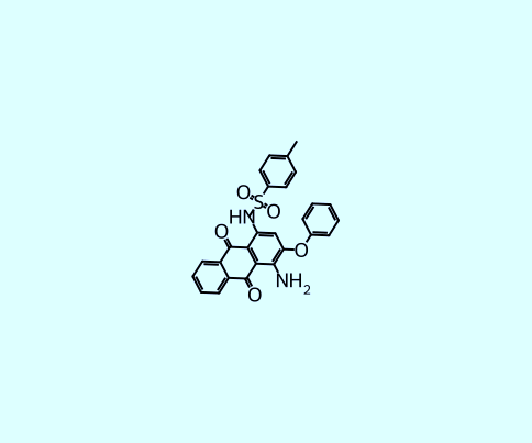 Cc1ccc(S(=O)(=O)Nc2cc(Oc3ccccc3)c(N)c3c2C(=O)c2ccccc2C3=O)cc1